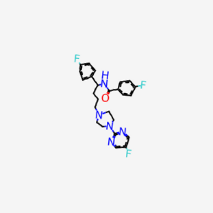 O=C(NC(CCCN1CCN(c2ncc(F)cn2)CC1)c1ccc(F)cc1)c1ccc(F)cc1